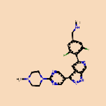 CNCc1cc(F)c(-c2cc3c(-c4cnc(N5CCN(C)CC5)nc4)n[nH]c3cn2)c(F)c1